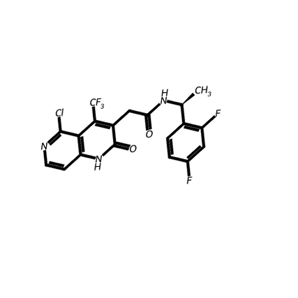 C[C@H](NC(=O)Cc1c(C(F)(F)F)c2c(Cl)nccc2[nH]c1=O)c1ccc(F)cc1F